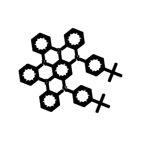 CC(C)(C)c1ccc(N2c3ccccc3B3c4ccccc4N4c5ccccc5B5c6ccccc6N(c6ccc(C(C)(C)C)cc6)c6cc2c3c4c65)cc1